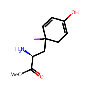 COC(=O)[C@@H](N)CC1(I)C=CC(O)=CC1